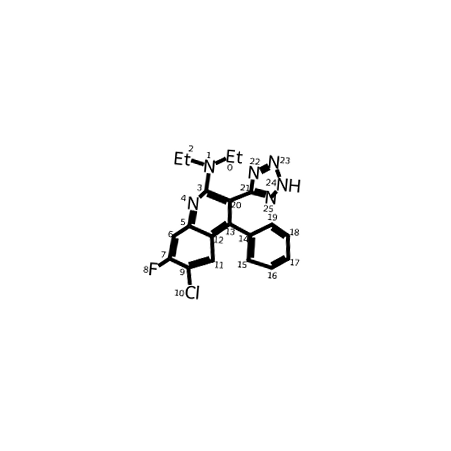 CCN(CC)c1nc2cc(F)c(Cl)cc2c(-c2ccccc2)c1-c1nn[nH]n1